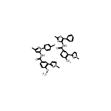 Cc1cc(NC(=O)c2ccc(OC(F)(F)F)c(-c3ccn(C)n3)c2)n(-c2ccc(F)cc2)n1.Cc1nc(NC(=O)c2ccc(C(F)(F)F)c(-c3ccn(C)n3)c2)c(-c2ccccc2)s1